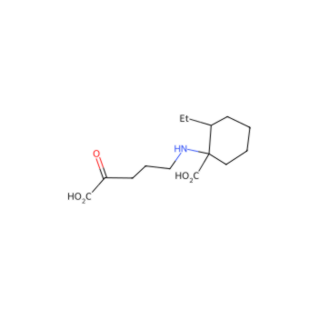 CCC1CCCCC1(NCCCC(=O)C(=O)O)C(=O)O